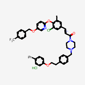 Cc1cc(/C=C/C(=O)N2CCN(Cc3ccc(CCOc4ccc(C(C)C)cc4)cc3)CC2)cc(Cl)c1Oc1ccc(OCc2ccc(C(F)(F)F)cc2)cn1.Cl